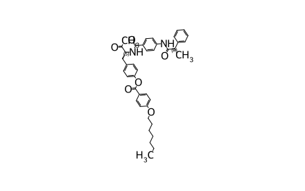 CCCCCCCOc1ccc(C(=O)Oc2ccc(C[C@H](NC(=O)c3ccc(NC(=O)[C@H](C)c4ccccc4)cc3)C(C)=O)cc2)cc1